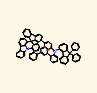 c1ccc(-c2cccc(-c3ccccc3N(c3ccc(-c4ccc5c(c4)C4(c6ccccc6-5)c5ccccc5-n5c6ccccc6c6cccc4c65)cc3)c3cccc4c3-c3ccccc3C4(c3ccccc3)c3ccccc3)c2)cc1